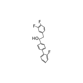 OC(Cc1ccc(F)c(F)c1)c1ccc(-c2ccccc2F)cc1